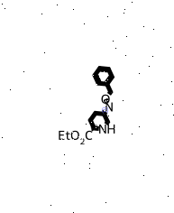 CCOC(=O)[C@@H]1CC/C(=N\OCc2ccccc2)CN1